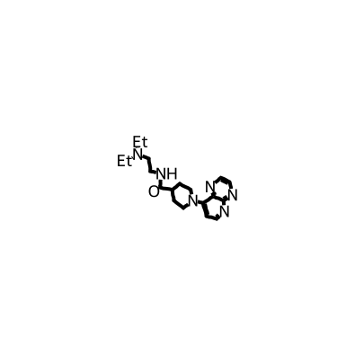 CCN(CC)CCNC(=O)C1CCN(c2ccnc3nccnc23)CC1